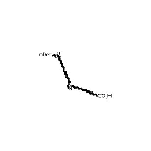 CCCCCCCCCCCCOC(=O)CCCCCCCCCCCCCCCN1CCN=C1CCCCCCCCCCCCCCC(=O)O